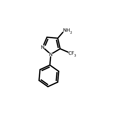 Nc1cnn(-c2ccccc2)c1C(F)(F)F